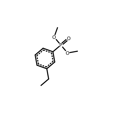 CCc1cccc(P(=O)(OC)OC)c1